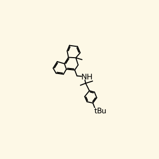 CC12C=CC=CC1=c1ccccc1=C(CNC(C)(C)c1ccc(C(C)(C)C)cc1)C2